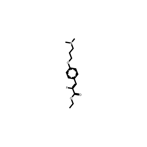 CCOC(=O)C(F)=Cc1ccc(OCCCN(C)C)cc1